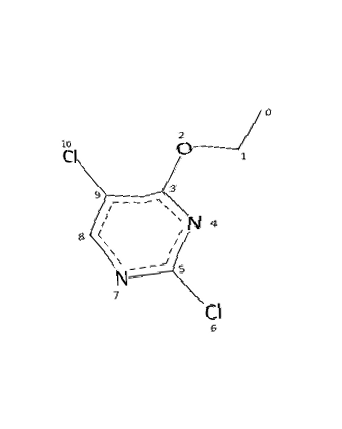 CCOc1nc(Cl)ncc1Cl